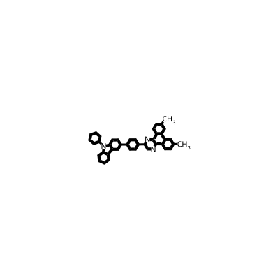 Cc1ccc2c(c1)c1cc(C)ccc1c1nc(-c3ccc(-c4ccc5c(c4)c4ccccc4n5-c4ccccc4)cc3)cnc21